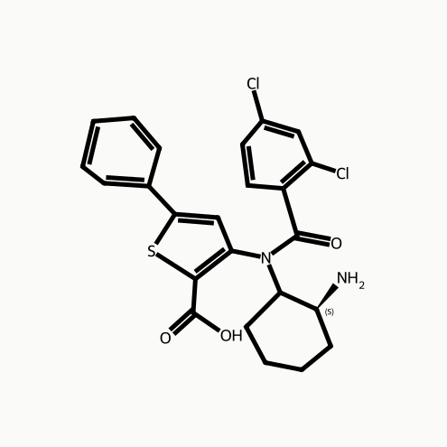 N[C@H]1CCCCC1N(C(=O)c1ccc(Cl)cc1Cl)c1cc(-c2ccccc2)sc1C(=O)O